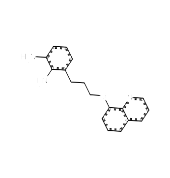 Nc1cccc(CCCOc2cccc3cccnc23)c1N